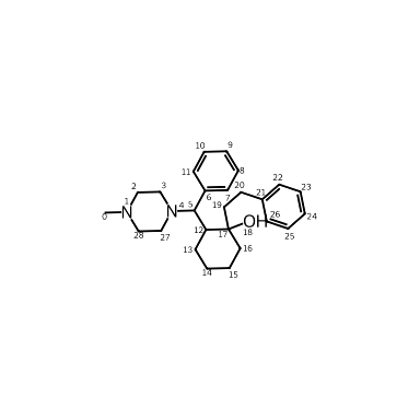 CN1CCN(C(c2ccccc2)C2CCCCC2(O)CCc2ccccc2)CC1